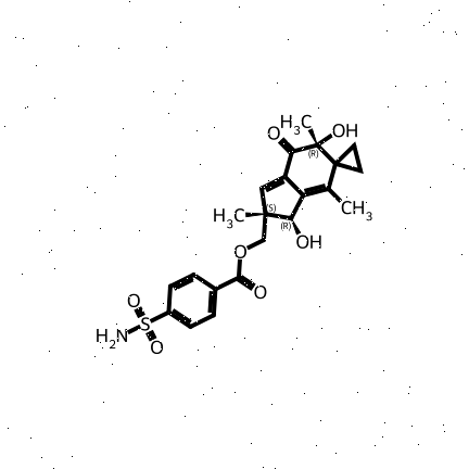 CC1=C2C(=C[C@@](C)(COC(=O)c3ccc(S(N)(=O)=O)cc3)[C@@H]2O)C(=O)[C@](C)(O)C12CC2